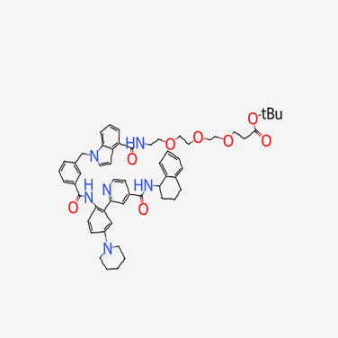 CC(C)(C)OC(=O)CCOCCOCCOCCNC(=O)c1cccc2c1ccn2Cc1cccc(C(=O)Nc2ccc(N3CCCCC3)cc2-c2cc(C(=O)NC3CCCc4ccccc43)ccn2)c1